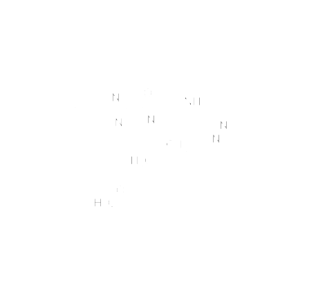 COCCCCn1c(C(=O)N(CC(C)C)[C@@H]2CNC[C@H](Cn3cccn3)C2)nc2ccccc21